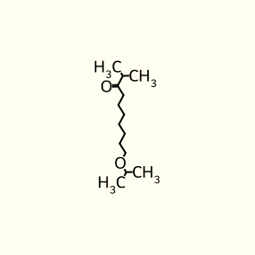 CC(C)OCCCCCCCC(=O)C(C)C